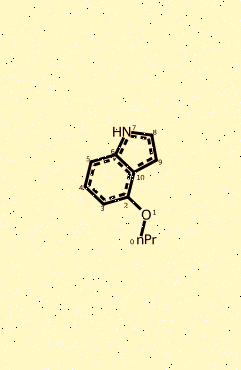 CCCOc1cccc2[nH]ccc12